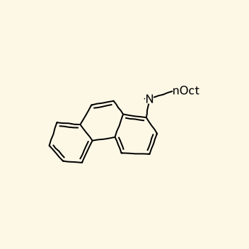 CCCCCCCC[N]c1cccc2c1ccc1ccccc12